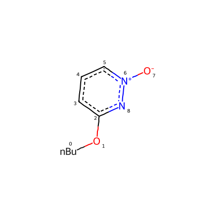 CCCCOc1cc[c][n+]([O-])n1